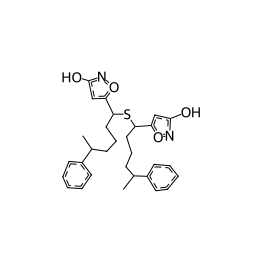 CC(CCCC(SC(CCCC(C)c1ccccc1)c1cc(O)no1)c1cc(O)no1)c1ccccc1